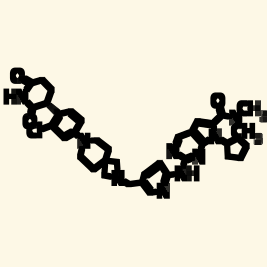 CN(C)C(=O)c1cc2cnc(Nc3ccc(CN4CC5(CCN(c6ccc([C@@H]7CCC(=O)NC7=O)c(Cl)c6)CC5)C4)cn3)nc2n1C1CCCC1